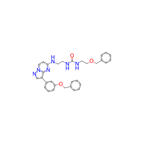 O=C(NCCNc1ccn2ncc(-c3cccc(OCc4ccccc4)c3)c2n1)NCCOCc1ccccc1